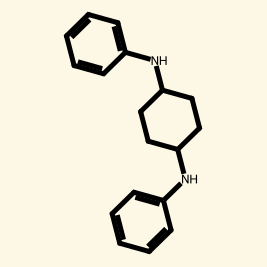 c1ccc(NC2CCC(Nc3ccccc3)CC2)cc1